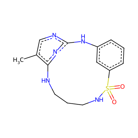 Cc1cnc2nc1NCCCNS(=O)(=O)c1cccc(c1)N2